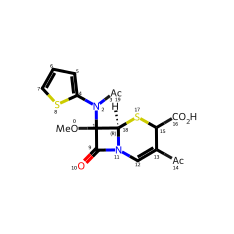 COC1(N(C(C)=O)c2cccs2)C(=O)N2C=C(C(C)=O)C(C(=O)O)S[C@@H]21